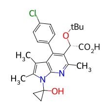 Cc1nc2c(c(C)c(C)n2C2(O)CC2)c(-c2ccc(Cl)cc2)c1[C@H](OC(C)(C)C)C(=O)O